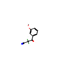 COc1cccc(C(=O)C(Br)(Br)C#N)c1